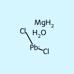 O.[Cl][Pb][Cl].[MgH2]